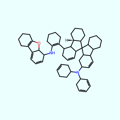 C1=CCC(N(C2C=CC3C4CCCCC4C4(C5C=CCC(C6=C(NC7C=CC=C8C9=C(CCCC9)OC87)CCCC6)C5[C@@H]5CCCCC54)C3C2)C2CC=CCC2)C=C1